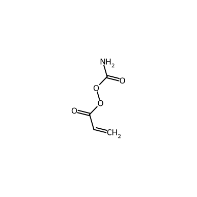 C=CC(=O)OOC(N)=O